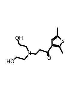 Cc1cc(C(=O)CCN(CCO)CCO)c(C)s1